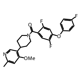 COc1cc(C)ncc1C1CCN(C(=O)c2cc(F)c(Oc3ccc(F)cc3)cc2F)CC1